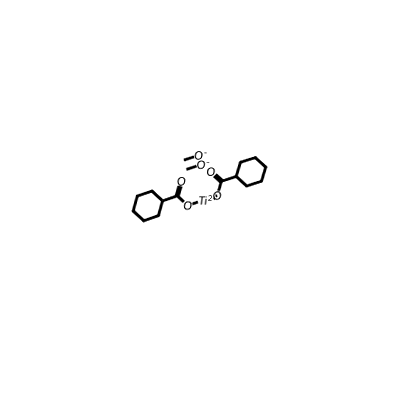 C[O-].C[O-].O=C([O][Ti+2][O]C(=O)C1CCCCC1)C1CCCCC1